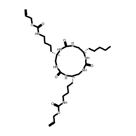 C=CCOC(=O)NCCCC[C@H]1CNC(=O)N[C@@H](CCCCC)CNC(=O)N[C@@H](CCCCNC(=O)OCC=C)CNC(=O)N1